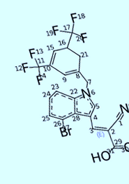 N#C/C(=C\c1cn(CC2=CC(C(F)(F)F)=CC(C(F)(F)F)C2)c2cccc(Br)c12)C(=O)O